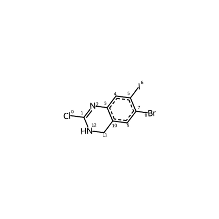 ClC1=Nc2cc(I)c(Br)cc2CN1